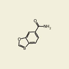 NC(=O)c1ccc2bcoc2c1